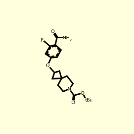 CC(C)(C)OC(=O)N1CCC2(CC1)CC(Oc1ccc(C(N)=O)c(F)c1)C2